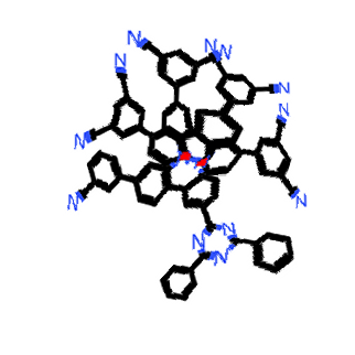 N#Cc1cccc(-c2ccc(-c3cc(-c4nc(-c5ccccc5)nc(-c5ccccc5)n4)ccc3-n3c4ccc(-c5cc(C#N)cc(C#N)c5)cc4c4cc(-c5cc(C#N)cc(C#N)c5)ccc43)c(-n3c4ccc(-c5cc(C#N)cc(C#N)c5)cc4c4cc(-c5cc(C#N)cc(C#N)c5)ccc43)c2)c1